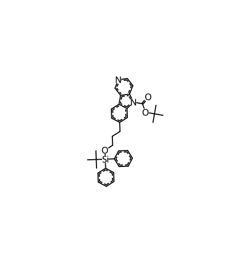 CC(C)(C)OC(=O)n1c2ccncc2c2ccc(CCCO[Si](c3ccccc3)(c3ccccc3)C(C)(C)C)cc21